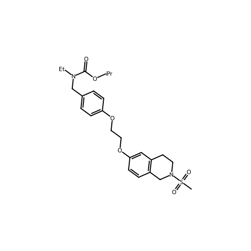 CCN(Cc1ccc(OCCOc2ccc3c(c2)CCN(S(C)(=O)=O)C3)cc1)C(=O)OC(C)C